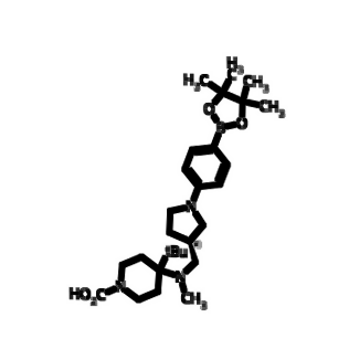 CN(C[C@H]1CCN(c2ccc(B3OC(C)(C)C(C)(C)O3)cc2)C1)C1(C(C)(C)C)CCN(C(=O)O)CC1